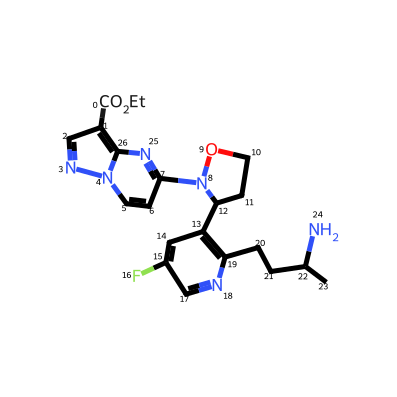 CCOC(=O)c1cnn2ccc(N3OCCC3c3cc(F)cnc3CCC(C)N)nc12